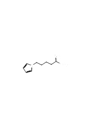 NC(CCCCn1cccc1)C(=O)O